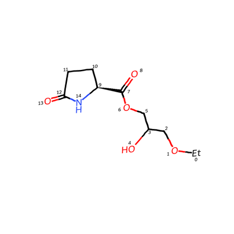 CCOCC(O)COC(=O)[C@@H]1CCC(=O)N1